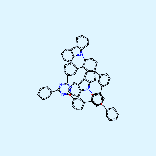 c1ccc(-c2cccc(-c3ccc(-n4c5ccccc5c5ccccc54)c(-c4cccc(-c5nc(-c6ccccc6)nc(-c6cccc(-c7cc(-c8ccccc8)ccc7-n7c8ccccc8c8ccccc87)c6)n5)c4)c3)c2)cc1